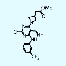 COC(=O)CC1CN(c2nc(Cl)nc(Nc3cccc(C(F)(F)F)c3)c2C=N)C1